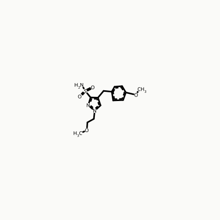 COCCn1cc(Cc2ccc(OC)cc2)c(S(N)(=O)=O)n1